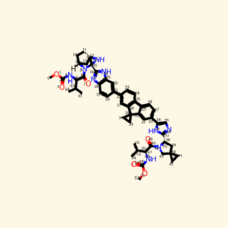 COC(=O)NC(C(=O)N1[C@@H]2CC[C@]3(C2)N[C@]13c1nc2ccc(-c3ccc4c(c3)C3(CC3)c3cc(-c5cnc([C@@H]6CC7(CC7)CN6C(=O)[C@@H](NC(=O)OC)C(C)C)[nH]5)ccc3-4)cc2[nH]1)C(C)C